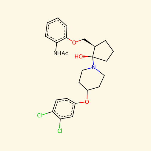 CC(=O)Nc1ccccc1OC[C@H]1CCC[C@]1(O)N1CCC(Oc2ccc(Cl)c(Cl)c2)CC1